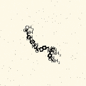 CCC(=O)NCc1cnc(N2CCN(c3ncc(C(=O)N4CCc5cc(Cn6nc(-c7ccc8oc(N)nc8c7)c7c(N)ncnc76)ccc5C4)cn3)CC2)nc1